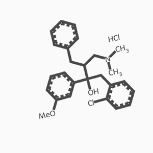 COc1cccc(C(O)(Cc2ccccc2Cl)C(Cc2ccccc2)CN(C)C)c1.Cl